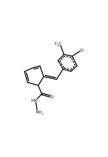 NNC(=O)C1C=CC=C/C1=C\c1ccc(Cl)c(C(F)(F)F)c1